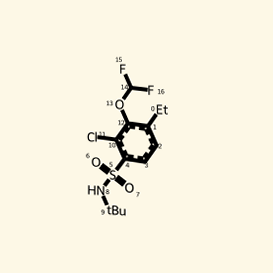 CCc1ccc(S(=O)(=O)NC(C)(C)C)c(Cl)c1OC(F)F